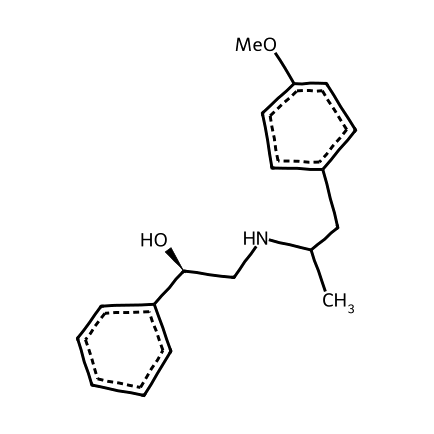 COc1ccc(CC(C)NC[C@H](O)c2ccccc2)cc1